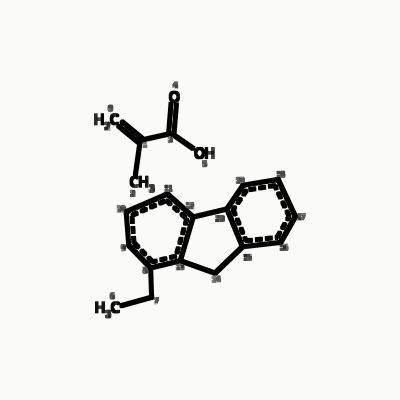 C=C(C)C(=O)O.CCc1cccc2c1Cc1ccccc1-2